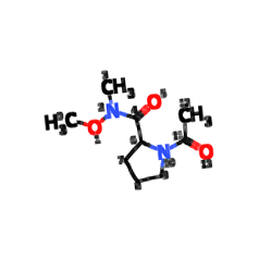 CON(C)C(=O)C1CCCN1C(C)=O